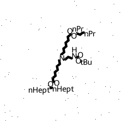 CCCCCCCC(CCCCCCC)OC(=O)CCCCCCCN(CCCCCCCC(=O)OCCC(CCC)CCC)CCCNC(=O)OC(C)(C)C